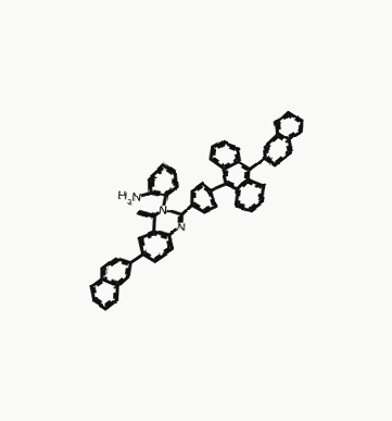 C=C1c2cc(-c3ccc4ccccc4c3)ccc2N=C(c2ccc(-c3c4ccccc4c(-c4ccc5ccccc5c4)c4ccccc34)cc2)N1c1ccccc1N